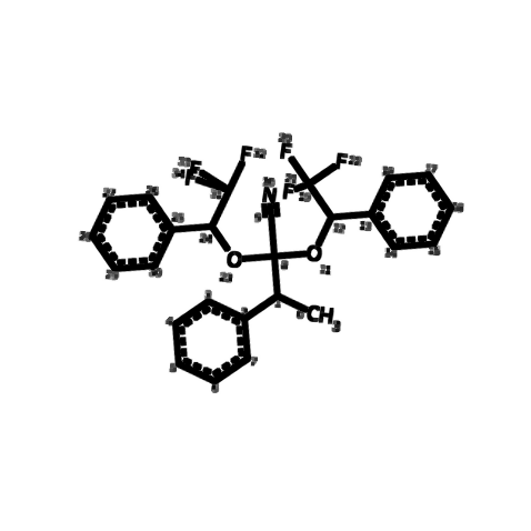 CC(c1ccccc1)C(C#N)(OC(c1ccccc1)C(F)(F)F)OC(c1ccccc1)C(F)(F)F